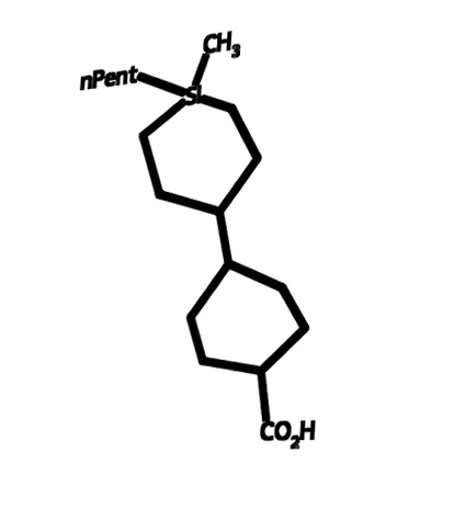 CCCCC[Si]1(C)CCC(C2CCC(C(=O)O)CC2)CC1